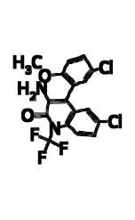 COc1ccc(Cl)cc1-c1c(N)c(=O)n(C(F)(F)F)c2ccc(Cl)cc12